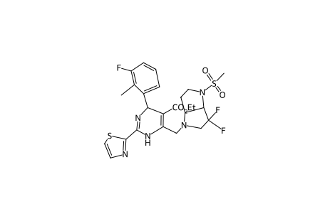 CCOC(=O)C1=C(CN2CC(F)(F)C3C2CCN3S(C)(=O)=O)NC(c2nccs2)=NC1c1cccc(F)c1C